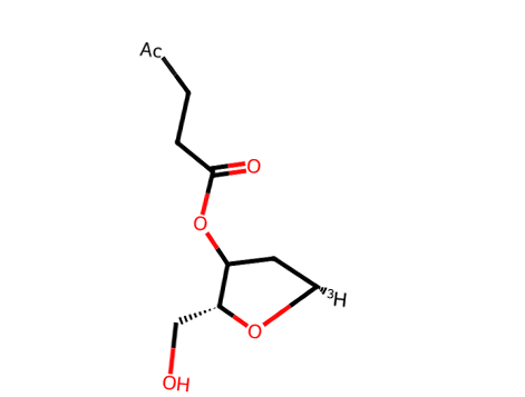 [3H][C@H]1CC(OC(=O)CCC(C)=O)[C@@H](CO)O1